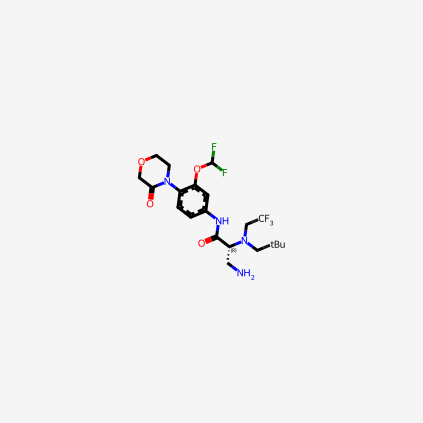 CC(C)(C)CN(CC(F)(F)F)[C@H](CN)C(=O)Nc1ccc(N2CCOCC2=O)c(OC(F)F)c1